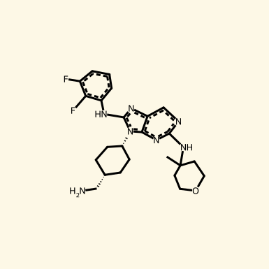 CC1(Nc2ncc3nc(Nc4cccc(F)c4F)n([C@H]4CC[C@@H](CN)CC4)c3n2)CCOCC1